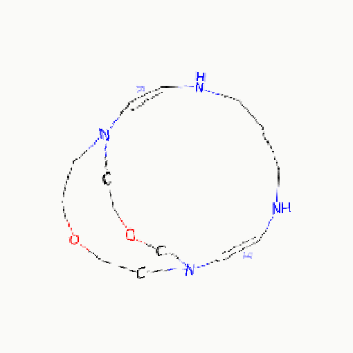 C1=C\N2CCOCCN(/C=C\NCCCN/1)COCC2